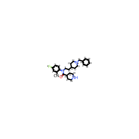 N#Cc1cc(F)ccc1N(CCC1CCN(Cc2ccccc2)CC1)C(=O)C1CCNCC1